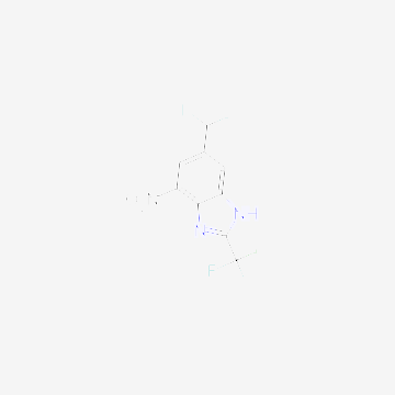 O=[N+]([O-])c1cc(C(F)F)cc2[nH]c(C(F)(F)Cl)nc12